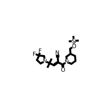 CC(C)(C=C(C#N)C(=O)N1CCCC(CO[Si](C)(C)C)C1)N1CCC(F)(F)C1